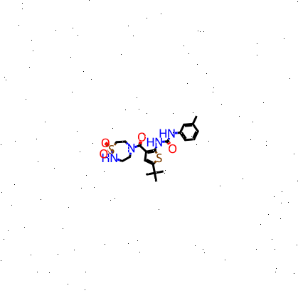 Cc1cccc(NC(=O)Nc2sc(C(C)(C)C)cc2C(=O)N2CCNS(=O)(=O)CC2)c1